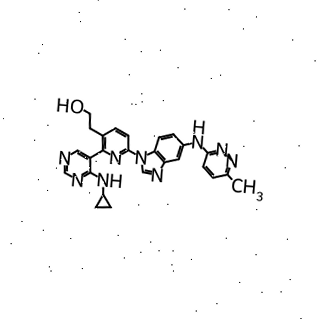 Cc1ccc(Nc2ccc3c(c2)ncn3-c2ccc(CCO)c(-c3cncnc3NC3CC3)n2)nn1